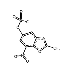 Cc1nc2cc(OS(=O)(=O)Cl)cc([N+](=O)[O-])c2o1